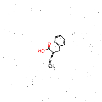 C=C=C(Cc1ccccc1)C(=O)O